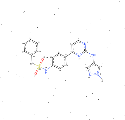 Cn1cc(Nc2nccc(-c3ccc(NS(=O)(=O)Cc4ccccc4)cc3)n2)cn1